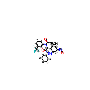 C#CC(=O)N(c1cccc(C(F)(F)F)c1)C(C(=O)NC1CCCCC1)c1ccc(N=O)cc1